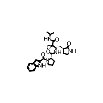 CC(C)NC(=O)C(=O)[C@H](C[C@@H]1CCNC1=O)NC(=O)[C@@H]1CCCN1C(=O)c1cc2ccccc2[nH]1